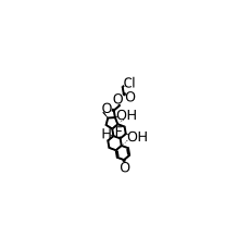 C[C@@H]1CC2[C@@H]3CCC4=CC(=O)C=C[C@]4(C)[C@@]3(F)[C@@H](O)C[C@]2(C)[C@@]1(O)C(=O)COC(=O)CCl